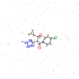 Cn1nnc(C(C(=O)c2ccc(Cl)cc2)C(=O)C2CC2)n1